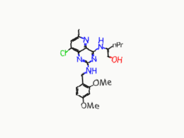 CCCC(CO)Nc1nc(NCc2ccc(OC)cc2OC)nc2c(Cl)cc(C)nc12